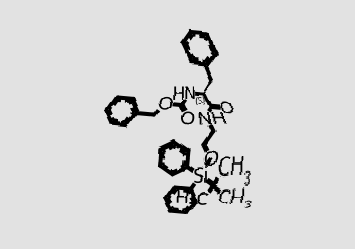 CC(C)(C)[Si](OCCNC(=O)[C@H](Cc1ccccc1)NC(=O)OCc1ccccc1)(c1ccccc1)c1ccccc1